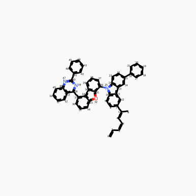 C=C/C=C\C=C(/C)c1ccc2c(c1)c1cc(-c3ccccc3)ccc1n2-c1cccc2c1oc1cccc(-c3nc(-c4ccccc4)nc4ccccc34)c12